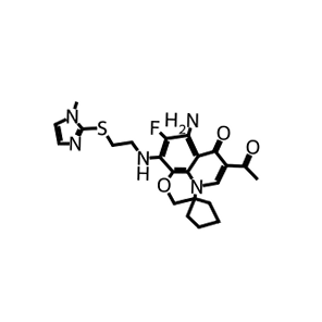 CC(=O)c1cn2c3c(c(NCCSc4nccn4C)c(F)c(N)c3c1=O)OCC21CCCC1